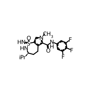 CC(C)[C@@H]1CCc2c(cn(C)c2C(=O)Nc2cc(F)c(F)c(F)c2)S(=N)(=O)N1